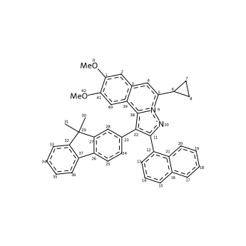 COc1cc2cc(C3CC3)n3nc(-c4cccc5ccccc45)c(-c4ccc5c(c4)C(C)(C)c4ccccc4-5)c3c2cc1OC